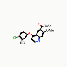 COC(=O)c1cc2c(Oc3ccc(Cl)c(N=O)c3)ccnc2cc1OC